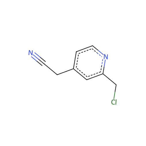 N#CCc1ccnc(CCl)c1